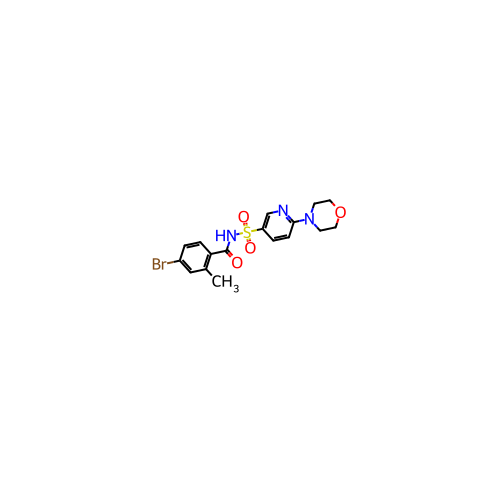 Cc1cc(Br)ccc1C(=O)NS(=O)(=O)c1ccc(N2CCOCC2)nc1